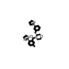 Cc1ccc(-n2nccn2)c(C(=O)N2CCOC[C@H]2Cc2cccc(-n3cccn3)c2)c1